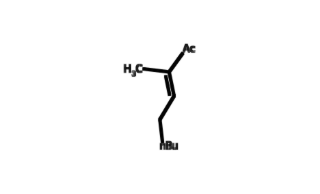 CCCCCC=C(C)C(C)=O